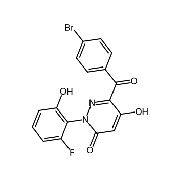 O=C(c1ccc(Br)cc1)c1nn(-c2c(O)cccc2F)c(=O)cc1O